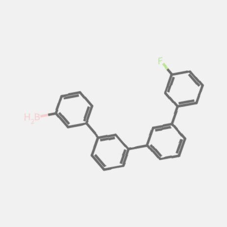 Bc1cccc(-c2cccc(-c3cccc(-c4cccc(F)c4)c3)c2)c1